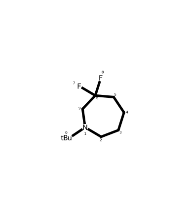 CC(C)(C)N1CCCCC(F)(F)C1